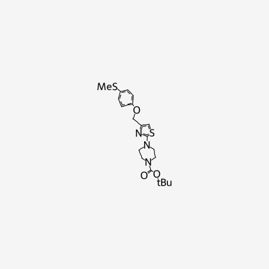 CSc1ccc(OCc2csc(N3CCN(C(=O)OC(C)(C)C)CC3)n2)cc1